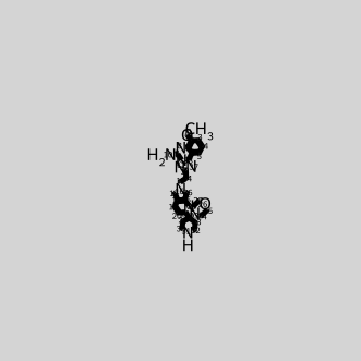 COc1cccc2c1nc(N)n1nc(CCN3Cc4ccc(C5(N6CCOCC6)CCNCC5)nc4C3)nc21